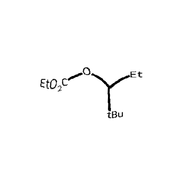 CCOC(=O)OC(CC)C(C)(C)C